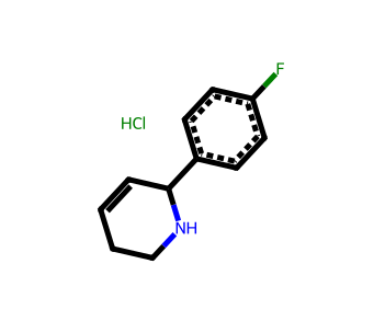 Cl.Fc1ccc(C2C=CCCN2)cc1